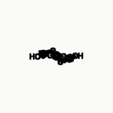 O=S(=O)(Cc1ccc(O)cc1)c1ccc(S(=O)(=O)Cc2ccc(O)cc2)cc1